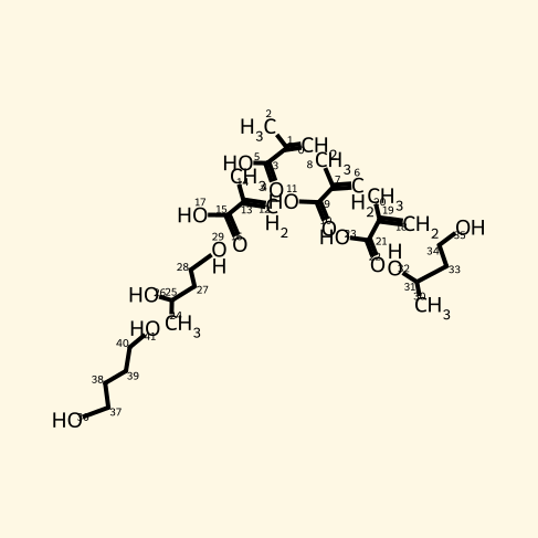 C=C(C)C(=O)O.C=C(C)C(=O)O.C=C(C)C(=O)O.C=C(C)C(=O)O.CC(O)CCO.CC(O)CCO.OCCCCO